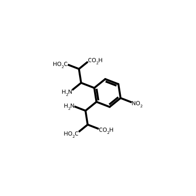 NC(c1ccc([N+](=O)[O-])cc1C(N)C(C(=O)O)C(=O)O)C(C(=O)O)C(=O)O